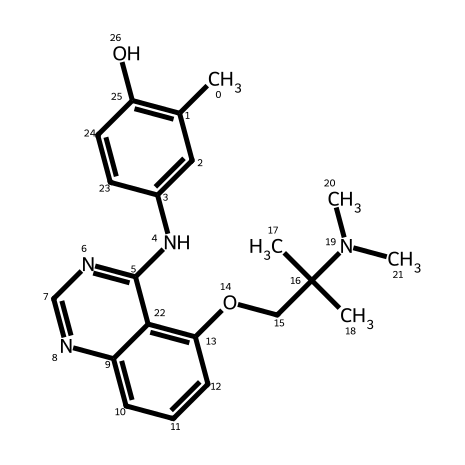 Cc1cc(Nc2ncnc3cccc(OCC(C)(C)N(C)C)c23)ccc1O